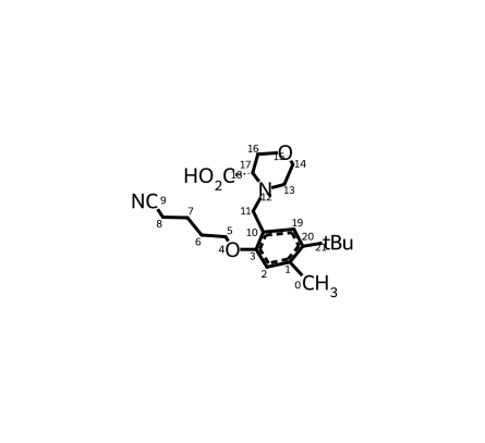 Cc1cc(OCCCCC#N)c(CN2CCOC[C@H]2C(=O)O)cc1C(C)(C)C